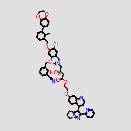 Cc1c(COc2cc(OCc3cccc(C#N)c3)c(CNC[C@@H](O)CC(=O)OCCOc3ccc4c(-c5c(-c6ccccn6)nn6c5CCC6)ccnc4c3)cc2Cl)cccc1-c1ccc2c(c1)OCCO2